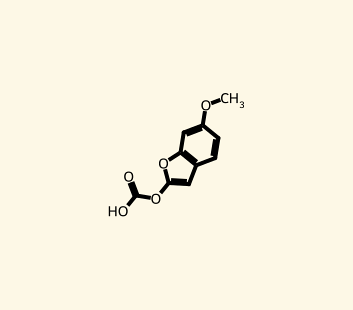 COc1ccc2cc(OC(=O)O)oc2c1